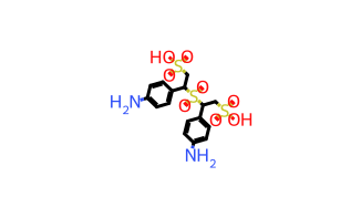 Nc1ccc(C(CS(=O)(=O)O)S(=O)(=O)C(CS(=O)(=O)O)c2ccc(N)cc2)cc1